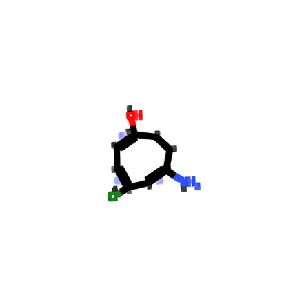 N/C1=C/C(Cl)=C\C=C(\O)CC1